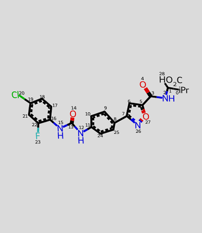 CC(C)C(NC(=O)c1cc(-c2ccc(NC(=O)Nc3ccc(Cl)cc3F)cc2)no1)C(=O)O